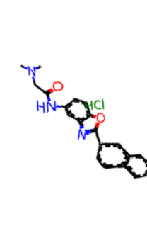 CN(C)CC(=O)Nc1ccc2oc(-c3ccc4ccccc4c3)nc2c1.Cl